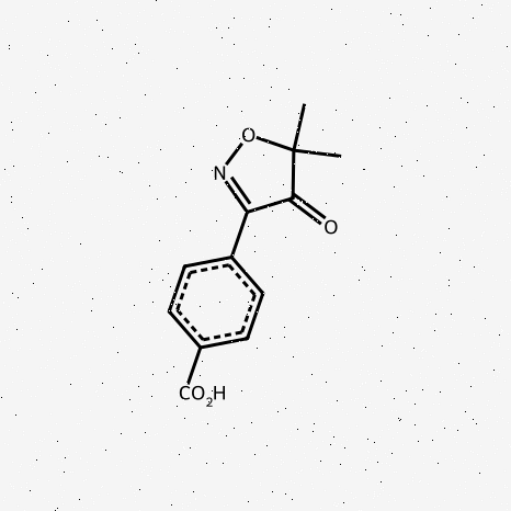 CC1(C)ON=C(c2ccc(C(=O)O)cc2)C1=O